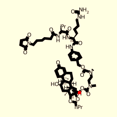 CCCC1O[C@@H]2C[C@H]3[C@@H]4CCC5=CC(=O)C=C[C@]5(C)[C@H]4[C@@H](O)C[C@]3(C)[C@]2(C(=O)COC(=O)N(C)CCN(C)C(=O)OCc2ccc(NC(=O)[C@H](CCCCNC(N)=O)NC(=O)[C@@H](NC(=O)CCCCCN3C(=O)C=CC3=O)C(C)C)cc2)O1